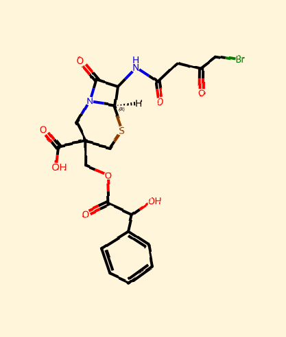 O=C(CBr)CC(=O)NC1C(=O)N2CC(COC(=O)C(O)c3ccccc3)(C(=O)O)CS[C@H]12